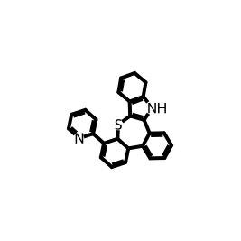 C1=CC2c3ccccc3-c3[nH]c4c(c3SC2C(c2ccccn2)=C1)C=CCC4